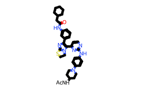 CC(=O)NC1CCN(c2ccc(Nc3nccc(-c4c(-c5cccc(NC(=O)CC6CCCCC6)c5)nc5n4CCS5)n3)cc2)CC1